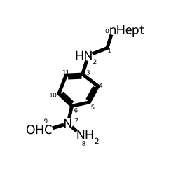 CCCCCCCCNc1ccc(N(N)C=O)cc1